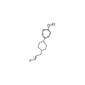 CCOc1ccc(C2CCC(C/C=C/F)CC2)cc1